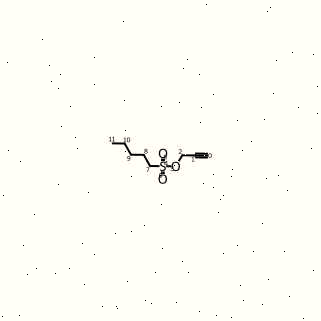 C#CCOS(=O)(=O)CCCCC